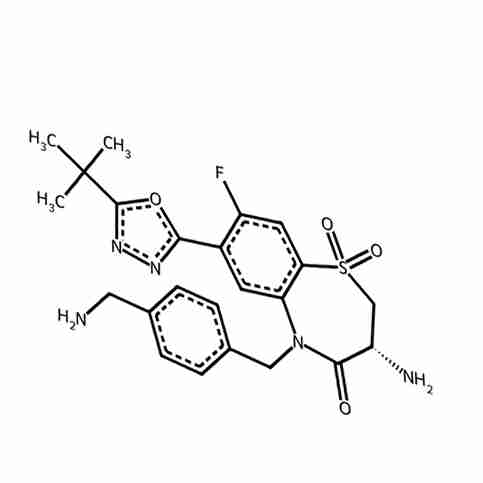 CC(C)(C)c1nnc(-c2cc3c(cc2F)S(=O)(=O)C[C@H](N)C(=O)N3Cc2ccc(CN)cc2)o1